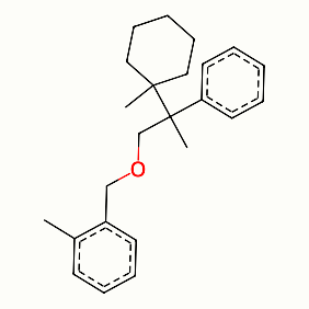 Cc1ccccc1COCC(C)(c1ccccc1)C1(C)CCCCC1